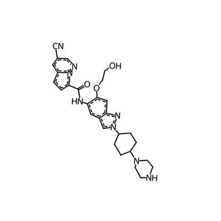 N#Cc1cnn2c(C(=O)Nc3cc4cn(C5CCC(N6CCNCC6)CC5)nc4cc3OCCO)ccc2c1